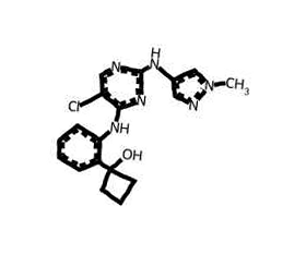 Cn1cc(Nc2ncc(Cl)c(Nc3ccccc3C3(O)CCC3)n2)cn1